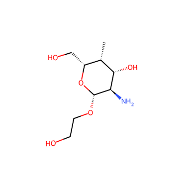 C[C@@H]1[C@H](O)[C@@H](N)[C@H](OCCO)O[C@@H]1CO